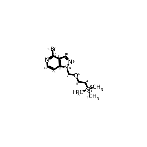 C[Si](C)(C)CCOCn1ncc2c(Br)nccc21